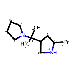 CC(C)C1CC(C(C)(C)N2CCCC2)CN1